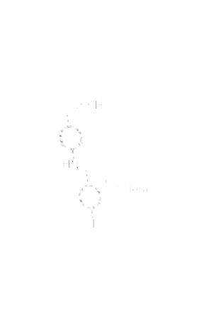 CCCCCCCOc1cc(I)ccc1CNc1ccc(CC(=O)O)cc1